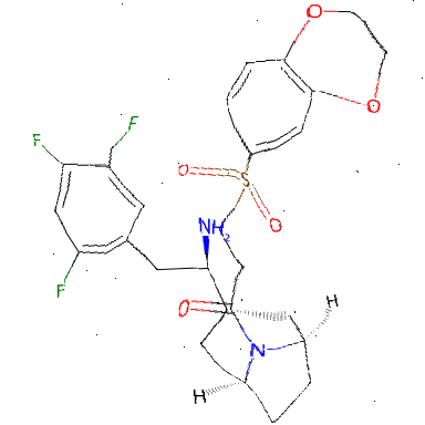 N[C@H](Cc1cc(F)c(F)cc1F)[C@@H]1C[C@H]2CC[C@@H](C1)N2C(=O)CCS(=O)(=O)c1ccc2c(c1)OCCO2